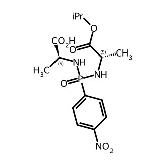 CC(C)OC(=O)[C@H](C)NP(=O)(N[C@@H](C)C(=O)O)c1ccc([N+](=O)[O-])cc1